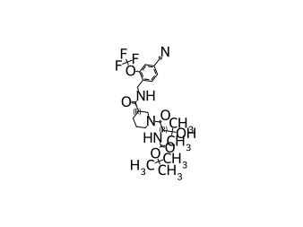 CC(C)(C)OC(=O)N[C@@H](C(=O)N1CCC[C@@H](C(=O)NCc2ccc(C#N)cc2OC(F)(F)F)C1)C(C)(C)O